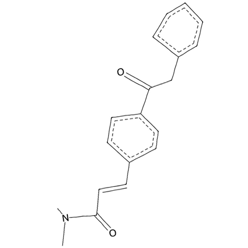 CN(C)C(=O)C=Cc1ccc(C(=O)Cc2ccccc2)cc1